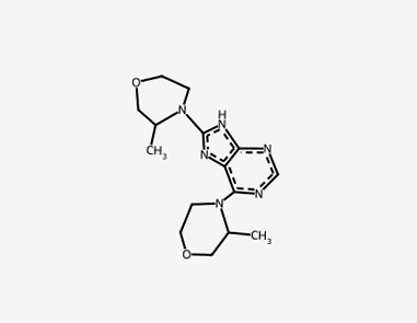 CC1COCCN1c1nc2c(N3CCOCC3C)ncnc2[nH]1